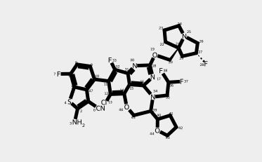 N#Cc1c(N)sc2c(F)ccc(-c3c(Cl)c4c5c(nc(OC[C@@]67CCCN6C[C@H](F)C7)nc5c3F)N(CC(F)F)C(C3CCCO3)CO4)c12